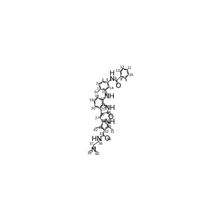 Cc1ccc(NC(=O)c2ccccc2)cc1Nc1cccc2c1NC(=O)C2=Cc1[nH]c(C)c(C(=O)NCCN(C)C)c1C